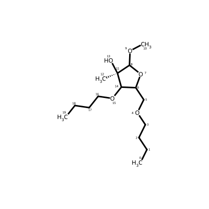 CCCCOCC1OC(OC)[C@](C)(O)C1OCCCC